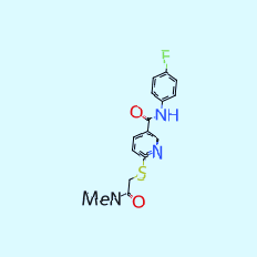 CNC(=O)CSc1ccc(C(=O)Nc2ccc(F)cc2)cn1